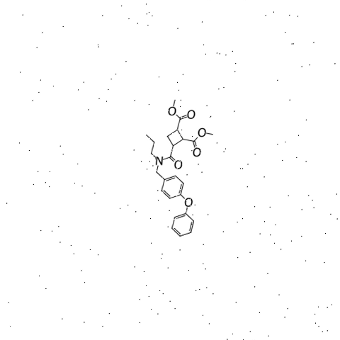 CCCN(Cc1ccc(Oc2ccccc2)cc1)C(=O)C1CC(C(=O)OC)C1C(=O)OC